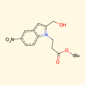 CC(C)(C)OC(=O)CCn1c(CO)cc2cc([N+](=O)[O-])ccc21